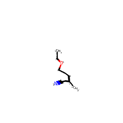 [CH2]C(C#N)CCOCC